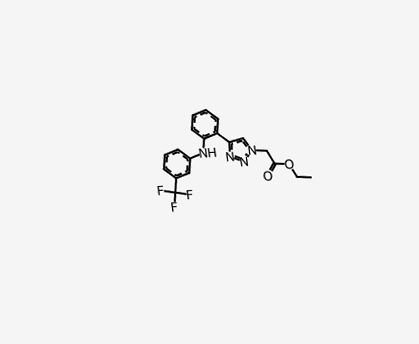 CCOC(=O)Cn1cc(-c2ccccc2Nc2cccc(C(F)(F)F)c2)nn1